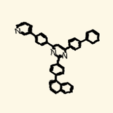 C1=CCCC(c2ccc(-c3cc(-c4ccc(-c5cccnc5)cc4)nc(-c4ccc(-c5cccc6ccccc56)cc4)n3)cc2)=C1